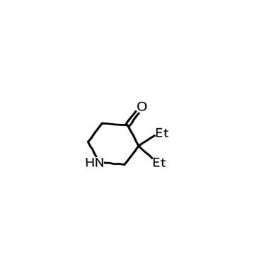 [CH2]CC1(CC)CNCCC1=O